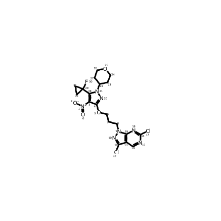 O=[N+]([O-])c1c(OCCCn2nc(Cl)c3cnc(Cl)nc32)nn(C2CCOCC2)c1C1(F)CC1